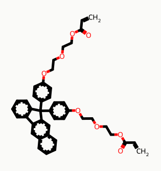 C=CC(=O)OCCOCCOc1ccc(C2(c3ccc(OCCOCCOC(=O)C=C)cc3)c3ccccc3-c3cc4ccccc4cc32)cc1